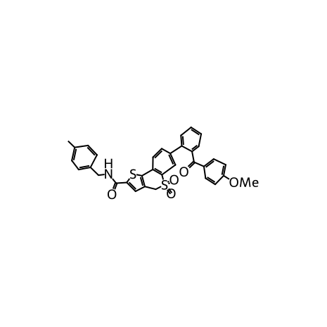 COc1ccc(C(=O)c2ccccc2-c2ccc3c(c2)S(=O)(=O)Cc2cc(C(=O)NCc4ccc(C)cc4)sc2-3)cc1